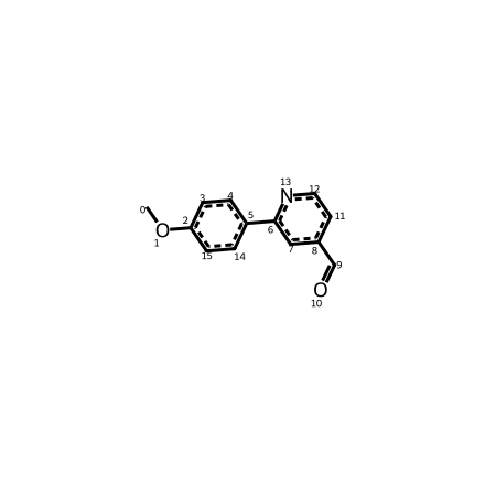 COc1ccc(-c2cc(C=O)ccn2)cc1